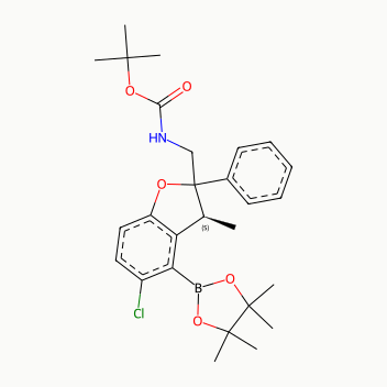 C[C@H]1c2c(ccc(Cl)c2B2OC(C)(C)C(C)(C)O2)OC1(CNC(=O)OC(C)(C)C)c1ccccc1